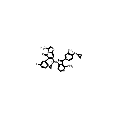 Cc1csc2cc([C@H](C3CC3)n3nc(-c4ccc(OC5CC5)c(P)c4)c4c(N)ncnc43)c(-c3cccc(F)c3)c(=O)n12